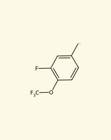 [CH2]c1ccc(OC(F)(F)F)c(F)c1